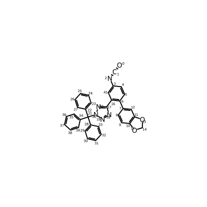 O=C=Nc1ccc(-c2ccc3c(c2)OCO3)c(-c2nnn(C(c3ccccc3)(c3ccccc3)c3ccccc3)n2)c1